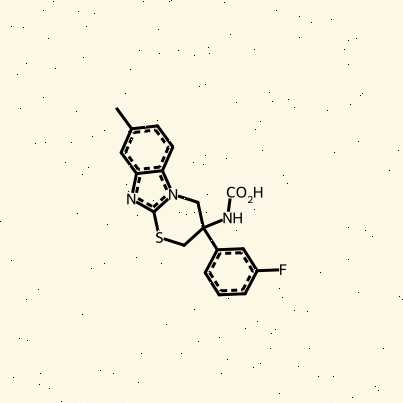 Cc1ccc2c(c1)nc1n2CC(NC(=O)O)(c2cccc(F)c2)CS1